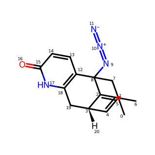 C/C=C1\[C@@H]2C=C(C)CC1(N=[N+]=[N-])c1ccc(=O)[nH]c1C2